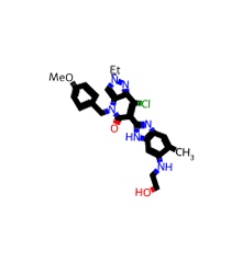 CCn1cc2c(n1)c(Cl)c(-c1nc3cc(C)c(NCCO)cc3[nH]1)c(=O)n2Cc1ccc(OC)cc1